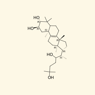 C[C@H](C(O)CCC(C)(C)O)[C@H]1CC[C@@]2(C)C3=C(CC[C@]12C)[C@@]1(C)C[C@@H](O)[C@H](O)C(C)(C)C1CC3